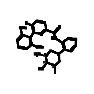 COc1cccc(OC)c1-c1nc(C(=O)Nc2cnccc2N2C[C@@H](N)[C@H](O)[C@@H](C)C2)ccc1F